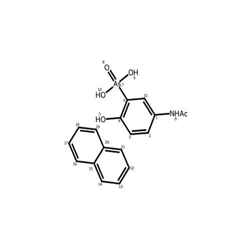 CC(=O)Nc1ccc(O)c([As](=O)(O)O)c1.c1ccc2ccccc2c1